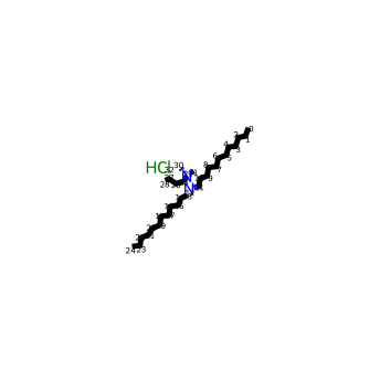 CCCCCCCCCCCCN(CCCCCCCCCCCC)C(CCC)N(C)C.Cl